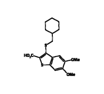 COc1cc2sc(C(=O)O)c(SCC3CCCCC3)c2cc1OC